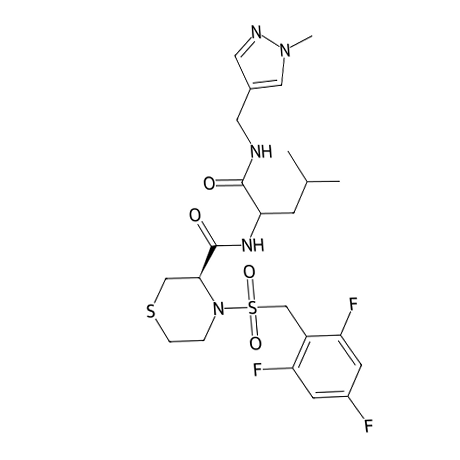 CC(C)CC(NC(=O)[C@@H]1CSCCN1S(=O)(=O)Cc1c(F)cc(F)cc1F)C(=O)NCc1cnn(C)c1